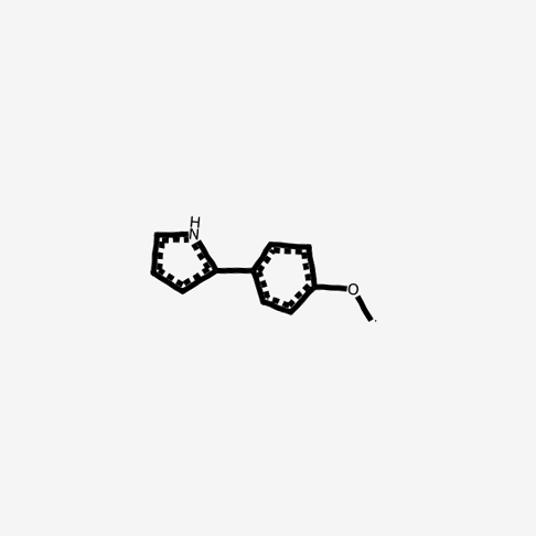 [CH2]Oc1ccc(-c2ccc[nH]2)cc1